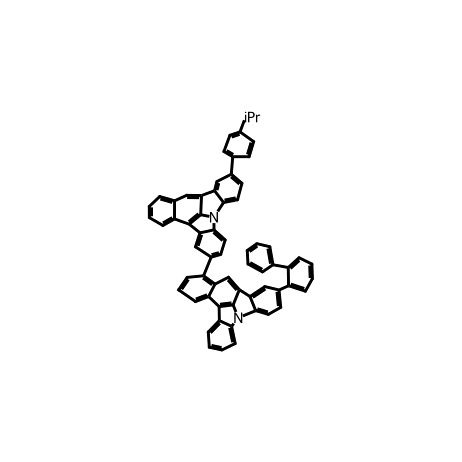 CC(C)c1ccc(-c2ccc3c(c2)c2cc4ccccc4c4c5cc(-c6cccc7c6cc6c8cc(-c9ccccc9-c9ccccc9)ccc8n8c9ccccc9c7c68)ccc5n3c24)cc1